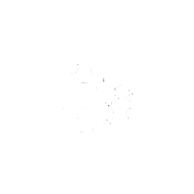 OCC1CCC(Nc2ccc3ncc(-c4cc5ccccc5s4)n3n2)CC1